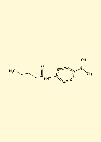 CCCCC(=O)Nc1ccc(B(O)O)cc1